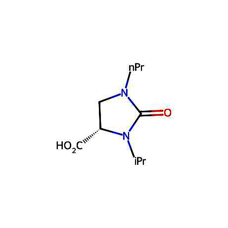 CCCN1C[C@@H](C(=O)O)N(C(C)C)C1=O